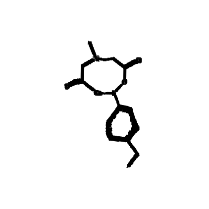 CCc1ccc(B2OC(=O)CN(C)CC(=O)O2)cc1